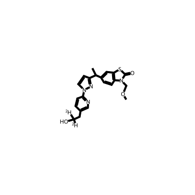 [2H]C([2H])(O)Cc1ccc(-n2ccc(C(C)c3ccc4c(c3)sc(=O)n4COC)n2)nc1